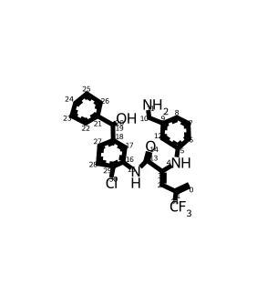 C=C(/C=C(\Nc1cccc(CN)c1)C(=O)Nc1cc(C(O)c2ccccc2)ccc1Cl)C(F)(F)F